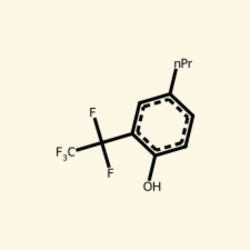 CCCc1ccc(O)c(C(F)(F)C(F)(F)F)c1